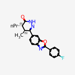 CCC[C@@H]1C(=O)NN=C(c2ccc3nc(-c4ccc(F)cc4)oc3c2)[C@H]1C